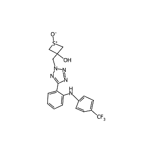 [O-][S+]1CC(O)(Cn2nnc(-c3ccccc3Nc3ccc(C(F)(F)F)cc3)n2)C1